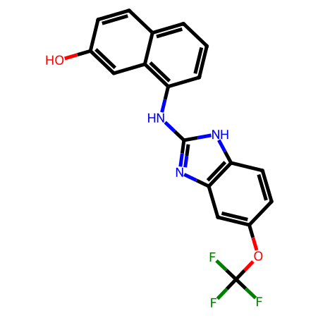 Oc1ccc2cccc(Nc3nc4cc(OC(F)(F)F)ccc4[nH]3)c2c1